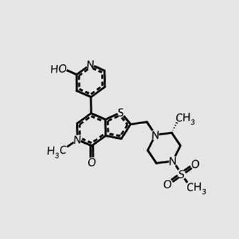 C[C@@H]1CN(S(C)(=O)=O)CCN1Cc1cc2c(=O)n(C)cc(-c3ccnc(O)c3)c2s1